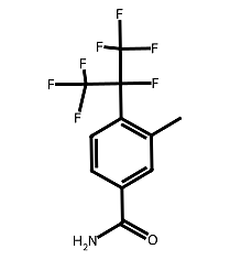 Cc1cc(C(N)=O)ccc1C(F)(C(F)(F)F)C(F)(F)F